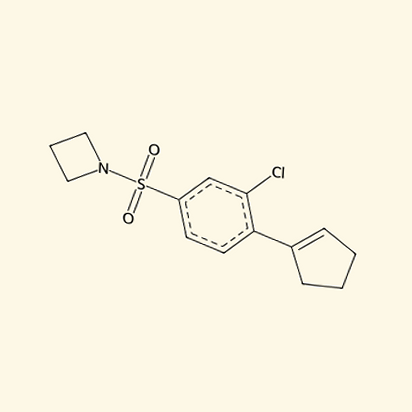 O=S(=O)(c1ccc(C2=CCCC2)c(Cl)c1)N1CCC1